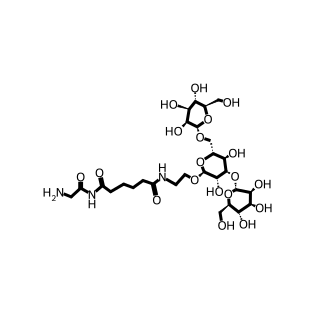 NCC(=O)NC(=O)CCCCC(=O)NCCO[C@H]1O[C@H](CO[C@H]2O[C@H](CO)[C@@H](O)[C@H](O)[C@@H]2O)[C@@H](O)[C@H](O[C@H]2O[C@H](CO)[C@@H](O)[C@H](O)[C@@H]2O)[C@@H]1O